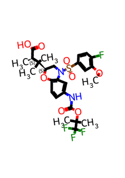 COc1cc(S(=O)(=O)N2C[C@H](C(C)(C)[C@H](C)C(=O)O)Oc3ccc(NC(=O)OC(C)(C)C(F)(F)F)cc32)ccc1F